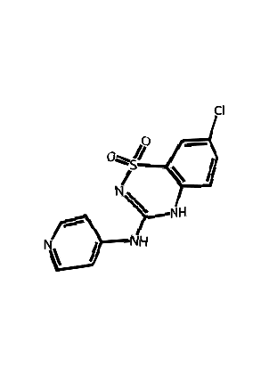 O=S1(=O)N=C(Nc2ccncc2)Nc2ccc(Cl)cc21